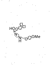 COc1ccc(OCCCNC2CCN(C[C@H](CO)COc3ccc(Cl)c(Cl)c3)CC2)cc1